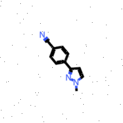 Cn1ccc(-c2ccc(C#N)cc2)n1